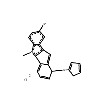 Cn1c2c(c3cc(Br)ccc31)C=C1C2=CC=C[CH]1[Zr+2][C]1=CC=CC1.[Cl-].[Cl-]